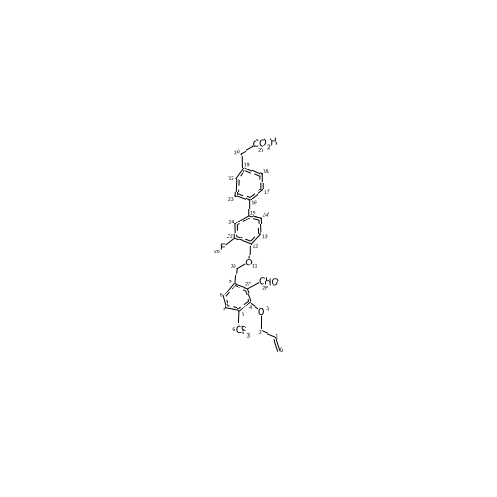 C=CCOc1c(C(F)(F)F)ccc(COc2ccc(-c3ccc(CC(=O)O)cc3)cc2F)c1C=O